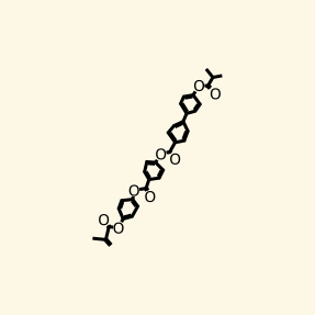 C=C(C)C(=O)Oc1ccc(OC(=O)c2ccc(OC(=O)c3ccc(-c4ccc(OC(=O)C(C)C)cc4)cc3)cc2)cc1